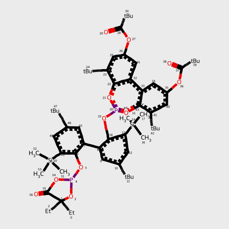 CCC1(CC)OP(Oc2c(-c3cc(C(C)(C)C)cc([Si](C)(C)C)c3Op3oc4c(C(C)(C)C)cc(OC(=O)C(C)(C)C)cc4c4cc(OC(=O)C(C)(C)C)cc(C(C)(C)C)c4o3)cc(C(C)(C)C)cc2[Si](C)(C)C)OC1=O